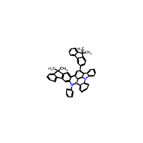 CC1(C)c2ccccc2-c2cc(-c3cc4c5c6c3c3ccccc3n6-c3ccccc3B5N(c3ccccc3)c3cc5c(cc3-4)C(C)(C)c3ccccc3-5)ccc21